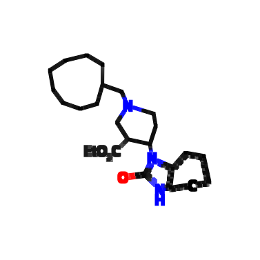 CCOC(=O)C1CN(CC2CCCCCCCC2)CCC1n1c(=O)[nH]c2ccccc21